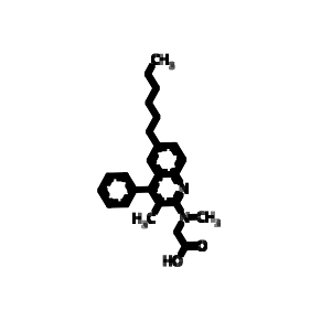 CCCCCCc1ccc2nc(N(C)CC(=O)O)c(C)c(-c3ccccc3)c2c1